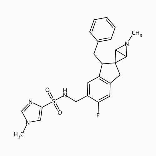 CN1C2C1C21Cc2cc(F)c(CNS(=O)(=O)c3cn(C)cn3)cc2C1Cc1ccccc1